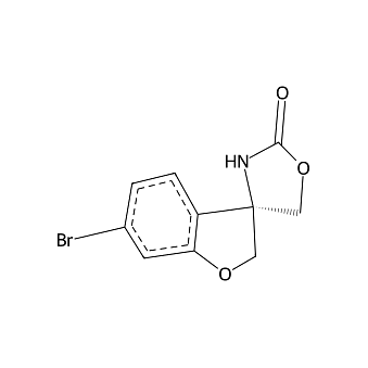 O=C1N[C@@]2(CO1)COc1cc(Br)ccc12